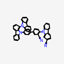 N#Cc1ccc2c3ccccc3n(-c3ccc(-c4ccc(-n5c6ccccc6c6cccc(-n7c8ccccc8c8ccccc87)c65)cc4)cc3C#N)c2c1